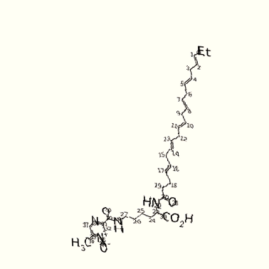 CCC=CCC=CCC=CCC=CCC=CCC=CCCC(=O)NC(CCCCNC(=O)c1c[n+]([O-])c(C)cn1)C(=O)O